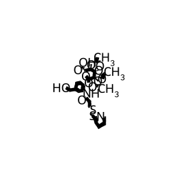 CC(=O)O[C@H]1[C@H](OC(C)=O)[C@@H](OC(C)=O)C(Oc2ccc(CO)cc2NC(=O)CCSSc2ccccn2)O[C@@H]1C(=O)O